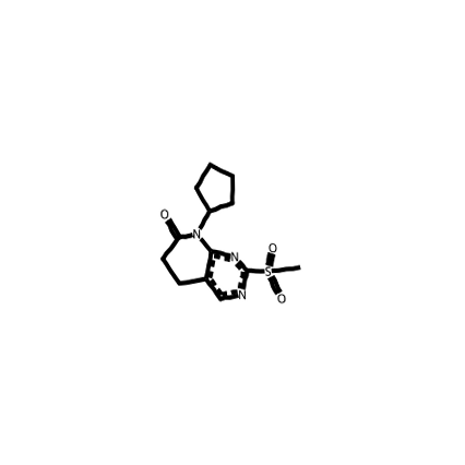 CS(=O)(=O)c1ncc2c(n1)N(C1CCCC1)C(=O)CC2